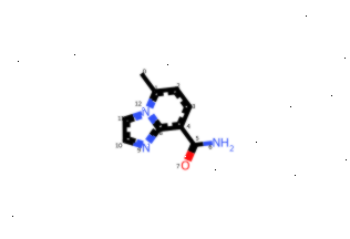 Cc1ccc(C(N)=O)c2nccn12